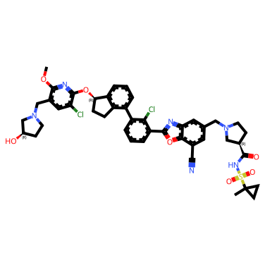 COc1nc(O[C@@H]2CCc3c(-c4cccc(-c5nc6cc(CN7CC[C@@H](C(=O)NS(=O)(=O)C8(C)CC8)C7)cc(C#N)c6o5)c4Cl)cccc32)c(Cl)cc1CN1CC[C@@H](O)C1